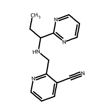 CCC(NCc1ncccc1C#N)c1ncccn1